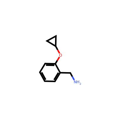 NCc1ccccc1OC1CC1